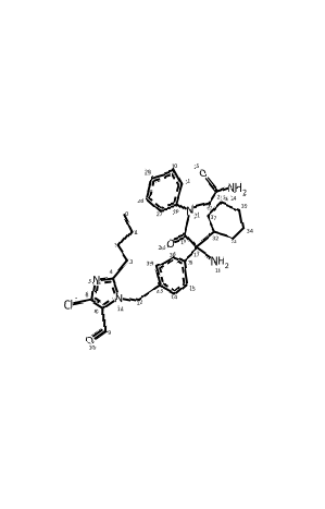 CCCCc1nc(Cl)c(C=O)n1Cc1ccc(C(N)(C(=O)N(CC(N)=O)c2ccccc2)C2CCCCC2)cc1